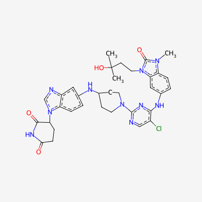 Cn1c(=O)n(CCC(C)(C)O)c2cc(Nc3nc(N4CCC(Nc5ccc6c(c5)ncn6C5CCC(=O)NC5=O)CC4)ncc3Cl)ccc21